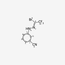 N#Cc1cccc(N/N=C(\Br)C(F)(F)F)c1